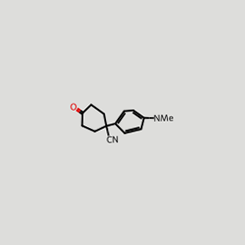 CNc1ccc(C2(C#N)CCC(=O)CC2)cc1